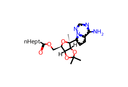 CCCCCCCC(=O)OC[C@H]1O[C@@](C)(c2ccc3c(N)ncnn23)[C@@H]2OC(C)(C)O[C@@H]21